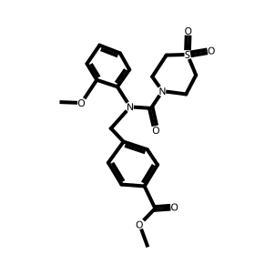 COC(=O)c1ccc(CN(C(=O)N2CCS(=O)(=O)CC2)c2ccccc2OC)cc1